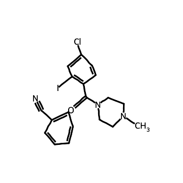 CN1CCN(C(=O)c2ccc(Cl)cc2I)CC1.N#Cc1ccccc1